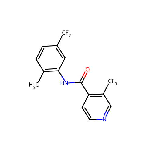 Cc1ccc(C(F)(F)F)cc1NC(=O)c1ccncc1C(F)(F)F